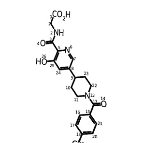 O=C(O)CNC(=O)c1ncc(C2CCN(C(=O)c3ccc(Cl)cc3)CC2)cc1O